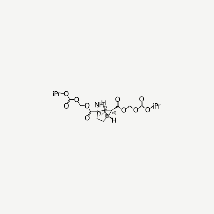 CC(C)OC(=O)OCOC(=O)[C@H]1[C@@H]2CC[C@@](N)(C(=O)OCOC(=O)OC(C)C)[C@@H]21